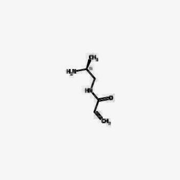 C=CC(=O)NC[C@H](C)N